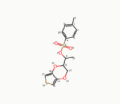 Cc1ccc(S(=O)(=O)OC(C)C2COc3cscc3O2)cc1